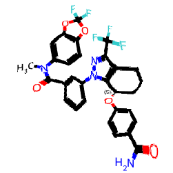 CN(C(=O)c1cccc(-n2nc(C(F)(F)F)c3c2[C@@H](Oc2ccc(C(N)=O)cc2)CCC3)c1)c1ccc2c(c1)OC(F)(F)O2